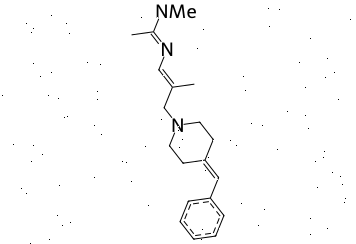 CN/C(C)=N/C=C(\C)CN1CCC(=Cc2ccccc2)CC1